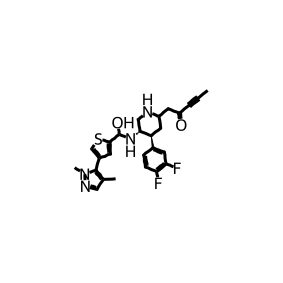 CC#CC(=O)CC1C[C@@H](c2ccc(F)c(F)c2)[C@H](NC(O)c2cc(-c3c(C)cnn3C)cs2)CN1